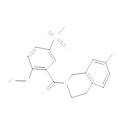 CC(C)Oc1ccc(S(C)(=O)=O)cc1C(=O)N1CCc2ccc(Br)cc2C1